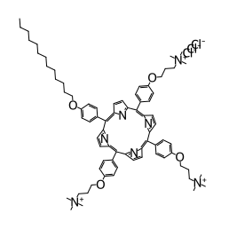 CCCCCCCCCCCCCOc1ccc(C2=C3C=CC(=N3)C(c3ccc(OCCC[N+](C)(C)C)cc3)=C3C=CC(=N3)C(c3ccc(OCCC[N+](C)(C)C)cc3)=C3C=CC(=N3)C(c3ccc(OCCC[N+](C)(C)C)cc3)=C3C=CC2=N3)cc1.[Cl-].[Cl-].[Cl-]